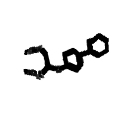 CCCCCCCCCCCC(Oc1ccc(C2=CCCCC2)cc1)C(=O)OCC